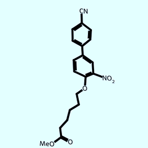 COC(=O)CCCCCOc1ccc(-c2ccc(C#N)cc2)cc1[N+](=O)[O-]